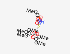 COc1ccc(S(=O)(=O)OC2(C)NN=C(SCCCCOc3c(-c4cc(OC)c(OC)c(OC)c4)oc4cc(OC)cc(OC)c4c3=O)O2)cc1